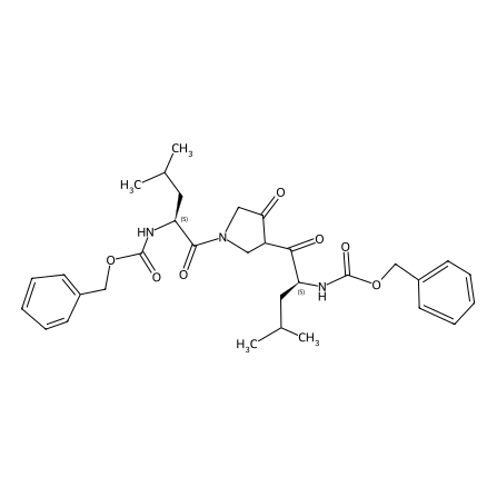 CC(C)C[C@H](NC(=O)OCc1ccccc1)C(=O)C1CN(C(=O)[C@H](CC(C)C)NC(=O)OCc2ccccc2)CC1=O